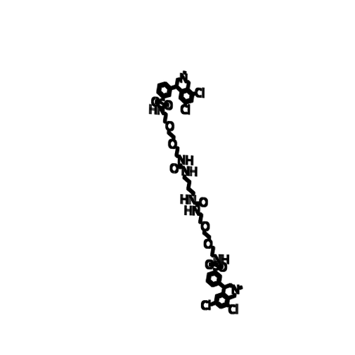 CN1Cc2c(Cl)cc(Cl)cc2C(c2cccc(S(=O)(=O)NCCOCCOCCNC(=O)NCCCCNC(=O)NCCOCCOCCNS(=O)(=O)c3cccc(C4CN(C)Cc5c(Cl)cc(Cl)cc54)c3)c2)C1